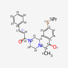 CC(C)Sc1ccc(C(=O)C(C)N2CCN(C(=O)/C=C/c3ccccc3)CC2)cc1